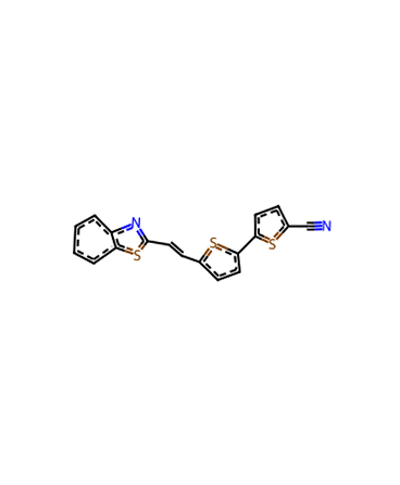 N#Cc1ccc(-c2ccc(/C=C/c3nc4ccccc4s3)s2)s1